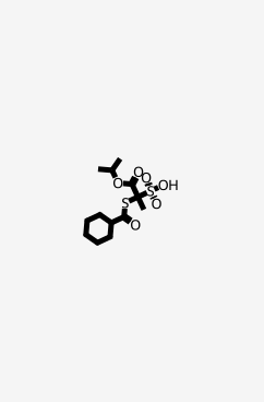 CC(C)OC(=O)C(C)(SC(=O)C1CCCCC1)S(=O)(=O)O